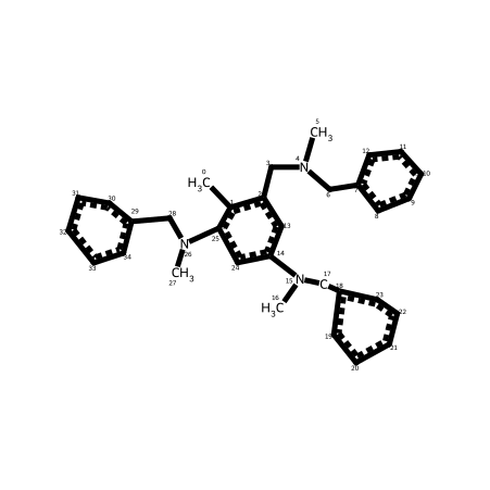 Cc1c(CN(C)Cc2ccccc2)cc(N(C)Cc2ccccc2)cc1N(C)Cc1ccccc1